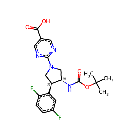 CC(C)(C)OC(=O)N[C@H]1CN(c2ncc(C(=O)O)cn2)C[C@@H]1c1cc(F)ccc1F